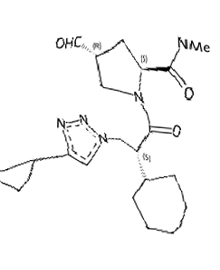 CNC(=O)[C@@H]1C[C@@H](C=O)CN1C(=O)[C@H](C1CCCCC1)n1cc(C2CC2)nn1